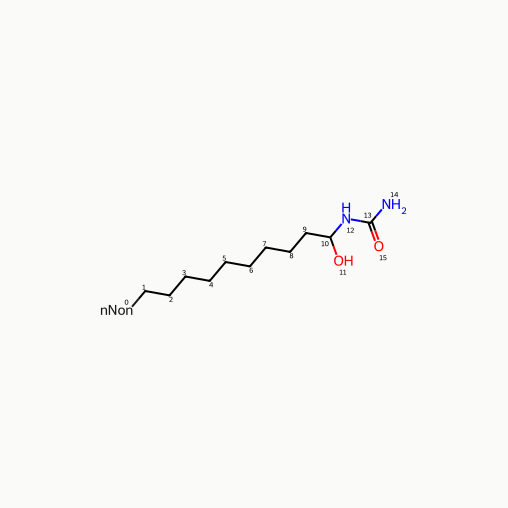 CCCCCCCCCCCCCCCCCCC(O)NC(N)=O